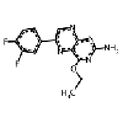 CCOc1nc(N)nc2ncc(-c3ccc(F)c(F)c3)nc12